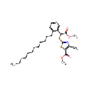 CCCCCCCCCCCCc1ccccc1C(Sc1nc(C)c(C(=O)OC)s1)C(=O)OC